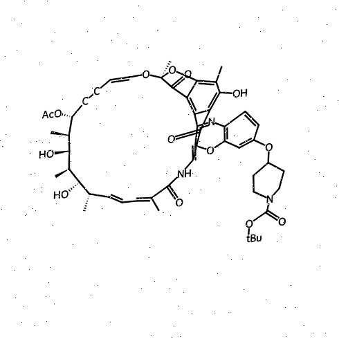 CC(=O)O[C@@H]1CC/C=C/O[C@@]2(C)Oc3c(C)c(O)c4c(=O)c(c5oc6cc(OC7CCN(C(=O)OC(C)(C)C)CC7)ccc6nc-5c4c3C2=O)NC(=O)/C(C)=C\C=C\[C@H](C)[C@H](O)[C@@H](C)[C@@H](O)[C@H]1C